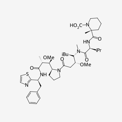 CC[C@H](C)[C@@H]([C@@H](CC(=O)N1CCC[C@H]1[C@H](OC)[C@@H](C)C(=O)N[C@@H](Cc1ccccc1)c1nccs1)OC)N(C)C(=O)[C@@H](NC(=O)[C@@]1(C)CCCCN1C(=O)O)C(C)C